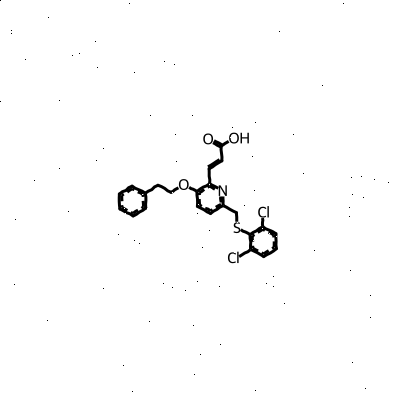 O=C(O)C=Cc1nc(CSc2c(Cl)cccc2Cl)ccc1OCCc1ccccc1